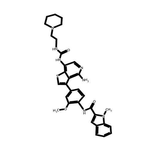 COc1cc(-c2csc3c(NC(=O)NCCN4CCCCC4)cnc(N)c23)ccc1NC(=O)c1cc2ccccc2n1C